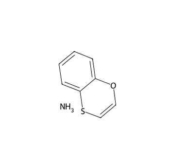 C1=CSc2ccccc2O1.N